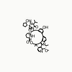 CCn1c(-c2cccnc2[C@H](C)OC)c2c3cc(ccc31)-c1cc(O)cc(c1)C[C@H](NC(=O)C(C(C)C)N(C)C(=O)[C@@H]1CCC[C@H]1O)C(=O)N1CCC[C@H](N1)C(=O)OCC(C)(C)C2